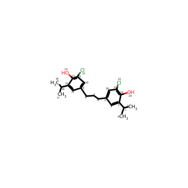 CC(C)c1cc(CCCc2cc(Cl)c(O)c(C(C)C)c2)cc(Cl)c1O